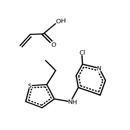 C=CC(=O)O.CCc1sccc1Nc1ccnc(Cl)c1